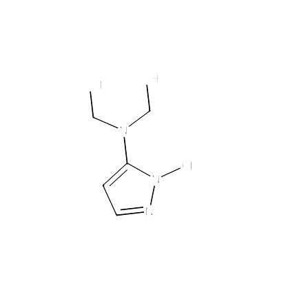 CCN(CC)c1c[c]nn1C